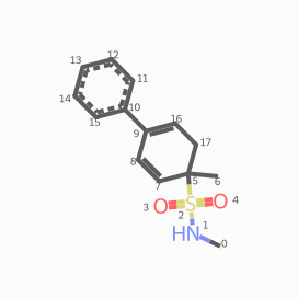 CNS(=O)(=O)C1(C)C=CC(c2ccccc2)=CC1